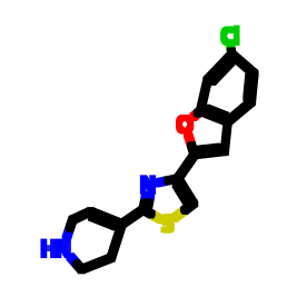 Clc1ccc2cc(-c3csc(C4=CCNCC4)n3)oc2c1